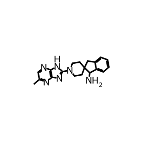 Cc1cnc2[nH]c(N3CCC4(CC3)Cc3ccccc3C4N)nc2n1